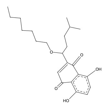 CCCCCCCOC(CCC(C)C)C1=CC(=O)c2c(O)ccc(O)c2C1=O